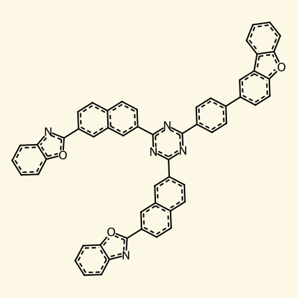 c1ccc2oc(-c3ccc4ccc(-c5nc(-c6ccc(-c7ccc8oc9ccccc9c8c7)cc6)nc(-c6ccc7ccc(-c8nc9ccccc9o8)cc7c6)n5)cc4c3)nc2c1